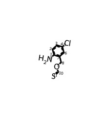 Nc1ccc(Cl)cc1COC=S